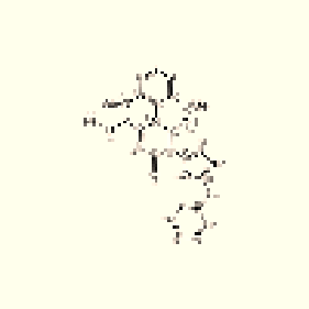 COc1cccc(OC)c1-n1c(COC(C)C)nc(=O)c(-c2nnc(Cc3ccccc3)o2)c1O